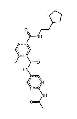 CC(=O)Nc1ncc(NC(=O)c2cc(C(=O)NCCC3CCCC3)ccc2C)cn1